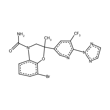 CC1(c2cnc(-n3nccn3)c(C(F)(F)F)c2)CN(C(N)=O)c2cccc(Br)c2O1